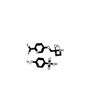 C[C@]1(COc2ccc(C(F)F)nc2)CCN1.Cc1ccc(S(=O)(=O)O)cc1